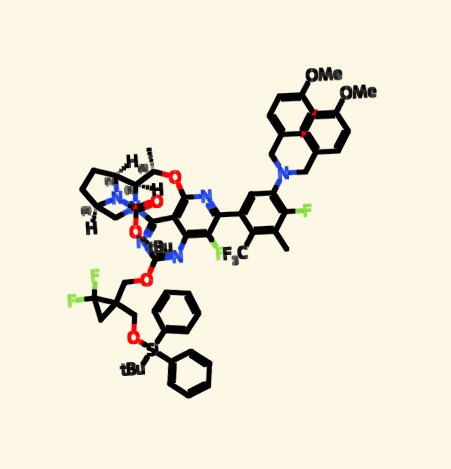 COc1ccc(CN(Cc2ccc(OC)cc2)c2cc(-c3nc4c5c(nc(OCC6(CO[Si](c7ccccc7)(c7ccccc7)C(C)(C)C)CC6(F)F)nc5c3F)N3C[C@H]5CC[C@@H]([C@H]3[C@H](C)O4)N5C(=O)OC(C)(C)C)c(C(F)(F)F)c(C)c2F)cc1